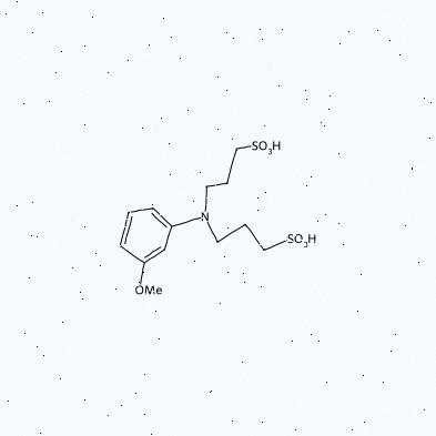 COc1cccc(N(CCCS(=O)(=O)O)CCCS(=O)(=O)O)c1